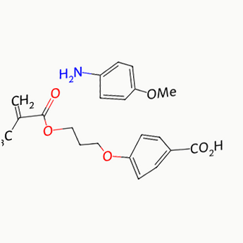 C=C(C)C(=O)OCCCOc1ccc(C(=O)O)cc1.COc1ccc(N)cc1